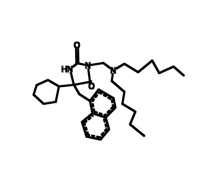 CCCCCCN(CCCCCC)CN1C(=O)NC(Cc2cccc3ccccc23)(C2CCCCC2)C1=O